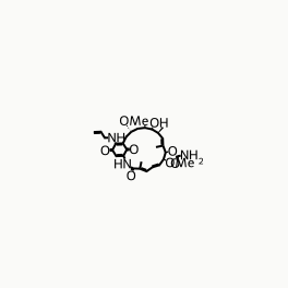 C=CCNC1=C2C[C@H](C)C[C@H](OC)[C@H](O)[C@@H](C)/C=C(\C)[C@@H](OC(N)=O)[C@@H](OC)/C=C/C=C(\C)C(=O)NC(=CC1=O)C2=O